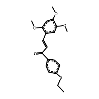 CCSc1ccc(C(=O)C=Cc2cc(OC)c(OC)cc2OC)cc1